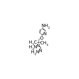 CC(C)(COc1ccc(N)cn1)N(N)/C=N\N